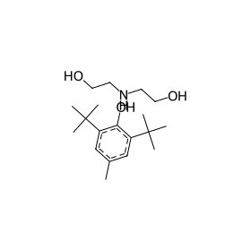 Cc1cc(C(C)(C)C)c(O)c(C(C)(C)C)c1.OCCNCCO